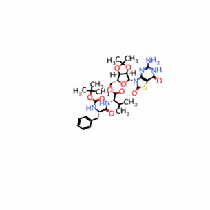 CC(C)[C@H](NC(=O)[C@H](Cc1ccccc1)NC(=O)OC(C)(C)C)C(=O)OC[C@H]1O[C@@H](n2c(=O)sc3c(=O)[nH]c(N)nc32)[C@@H]2OC(C)(C)O[C@@H]21